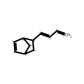 C=CC=CC1CC2C=CC1C2